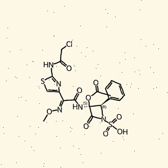 CON=C(C(=O)N[C@@]1(OC(C)=O)C(=O)N(S(=O)(=O)O)[C@@H]1c1ccccc1)c1csc(NC(=O)CCl)n1